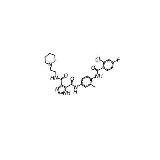 Cc1cc(NC(=O)c2[nH]cnc2C(=O)NCCN2CCCCC2)ccc1NC(=O)c1ccc(F)cc1Cl